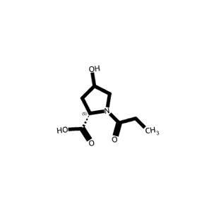 CCC(=O)N1CC(O)C[C@H]1C(=O)O